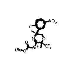 CC(C)(C)OC(=O)NC1=N[C@](C)(c2cc([N+](=O)[O-])ccc2F)CO[C@@]1(C)C(F)(F)F